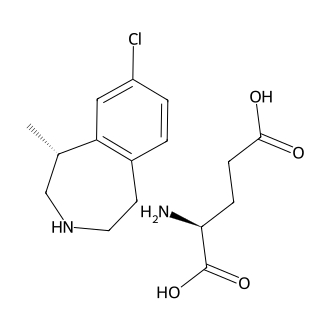 C[C@H]1CNCCc2ccc(Cl)cc21.N[C@@H](CCC(=O)O)C(=O)O